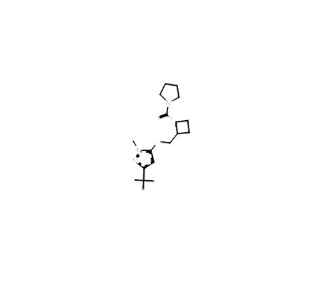 Cn1nc(C(F)(F)F)cc1OCC1CC[C@@H]1C(=O)N1CCCC1